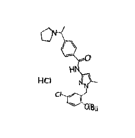 Cc1cc(NC(=O)c2ccc(C(C)N3CCCC3)cc2)nn1Cc1cc(Cl)ccc1OCC(C)C.Cl